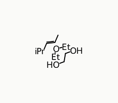 C/C=C/C(C)C.CCOCC.OCCO